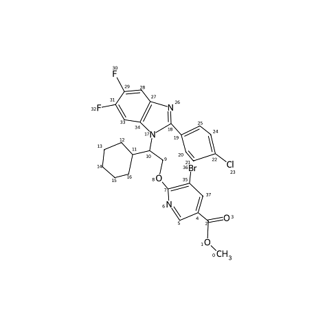 COC(=O)c1cnc(OCC(C2CCCCC2)n2c(-c3ccc(Cl)cc3)nc3cc(F)c(F)cc32)c(Br)c1